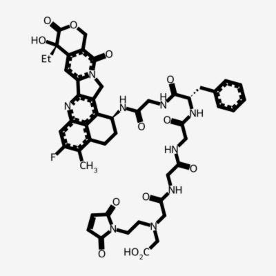 CC[C@@]1(O)C(=O)OCc2c1cc1n(c2=O)Cc2c-1nc1cc(F)c(C)c3c1c2[C@@H](NC(=O)CNC(=O)[C@H](Cc1ccccc1)NC(=O)CNC(=O)CNC(=O)CN(CCN1C(=O)C=CC1=O)CC(=O)O)CC3